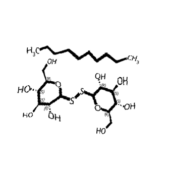 CCCCCCCCCC.OC[C@H]1OC(SSC2O[C@H](CO)[C@@H](O)[C@H](O)[C@H]2O)[C@H](O)[C@@H](O)[C@@H]1O